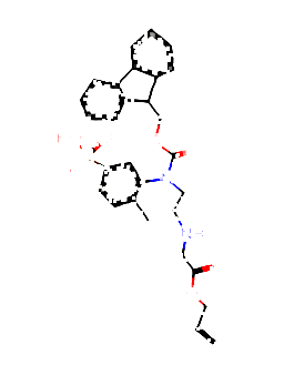 C=CCOC(=O)CNCCN(C(=O)OCC1c2ccccc2-c2ccccc21)c1cc(S(=O)(=O)O)ccc1C